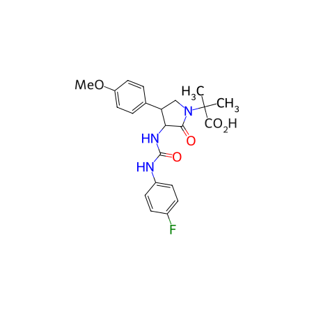 COc1ccc(C2CN(C(C)(C)C(=O)O)C(=O)C2NC(=O)Nc2ccc(F)cc2)cc1